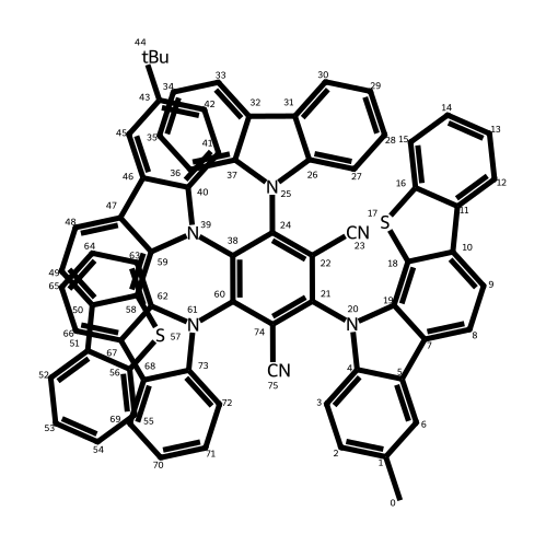 Cc1ccc2c(c1)c1ccc3c4ccccc4sc3c1n2-c1c(C#N)c(-n2c3ccccc3c3ccccc32)c(-n2c3ccc(C(C)(C)C)cc3c3ccc4c5ccccc5sc4c32)c(-n2c3ccccc3c3ccccc32)c1C#N